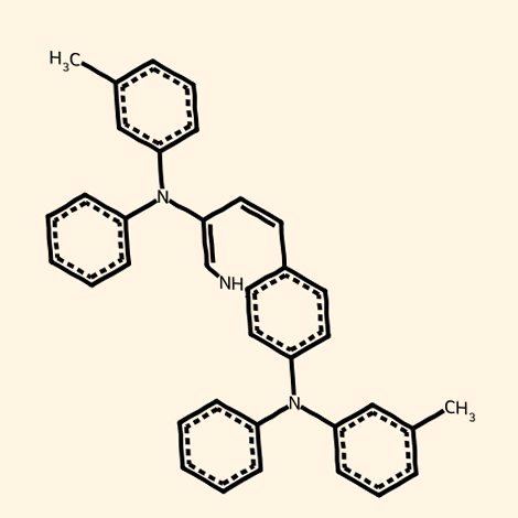 Cc1cccc(N(C(/C=C\c2ccc(N(c3ccccc3)c3cccc(C)c3)cc2)=C/N)c2ccccc2)c1